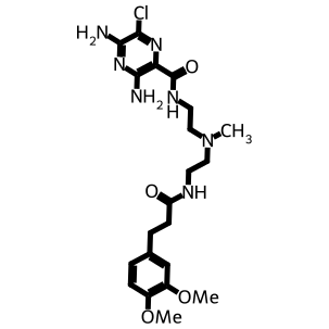 COc1ccc(CCC(=O)NCCN(C)CCNC(=O)c2nc(Cl)c(N)nc2N)cc1OC